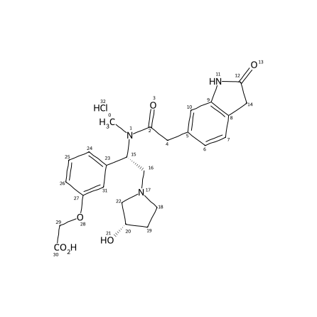 CN(C(=O)Cc1ccc2c(c1)NC(=O)C2)[C@H](CN1CC[C@H](O)C1)c1cccc(OCC(=O)O)c1.Cl